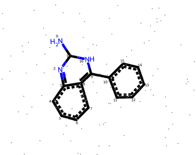 NC1N=c2ccccc2=C(c2ccccc2)N1